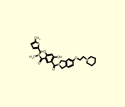 Cc1ccc(CN(C)C(=O)c2cc(C(=O)N3Cc4ccc(OCCN5CCCCC5)cc4C3)c(O)cc2O)s1